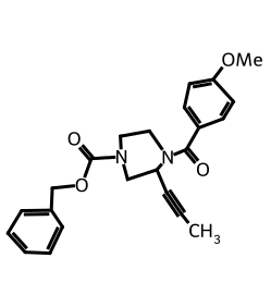 CC#CC1CN(C(=O)OCc2ccccc2)CCN1C(=O)c1ccc(OC)cc1